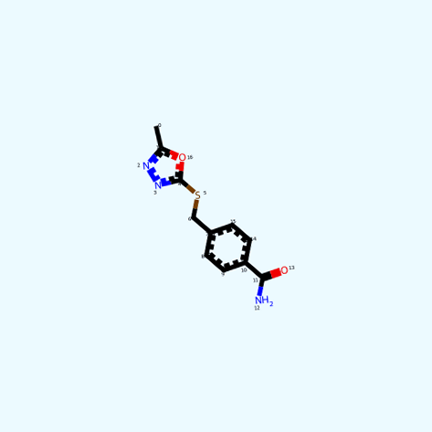 Cc1nnc(SCc2ccc(C(N)=O)cc2)o1